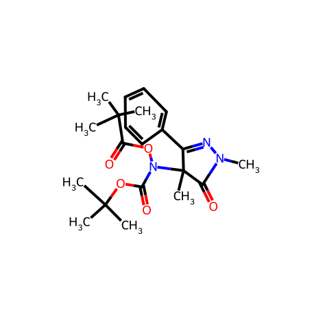 CN1N=C(c2ccccc2)C(C)(N(OC(=O)C(C)(C)C)C(=O)OC(C)(C)C)C1=O